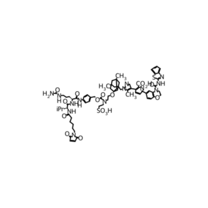 Cc1c(-c2ccc(-c3ccc4c(c3)N(C(=O)Nc3nc5ccccc5s3)CCO4)nc2C(=O)O)cnn1CC12CC3(C)CC(C)(C1)CC(OCCN(CCS(=O)(=O)O)C(=O)OCc1ccc(NC(=O)[C@H](CCCNC(N)=O)NC(=O)[C@@H](NC(=O)CCCCCN4C(=O)C=CC4=O)C(C)C)cc1)(C3)C2